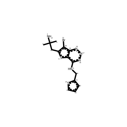 CC(C)(N)Cc1sc2c(NCc3cccs3)nnnc2c1Br